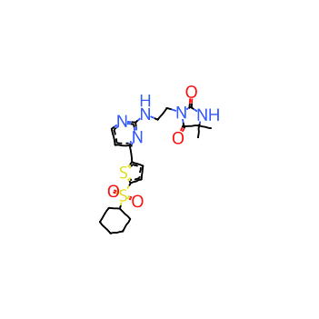 CC1(C)NC(=O)N(CCNc2nccc(-c3ccc(S(=O)(=O)C4CCCCC4)s3)n2)C1=O